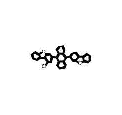 Clc1cc(-c2c3ccccc3c(-c3ccc4c(c3)oc3ccccc34)c3ccccc23)cc2oc3ccccc3c12